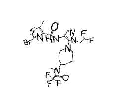 Cc1sc(Br)nc1C(=O)Nc1cnn(CC(F)F)c1N1CCC[C@@H](N(C)C(=O)C(F)(F)F)CC1